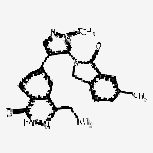 Cc1ccc2c(c1)C(=O)N(c1c(-c3ccc4c(=O)[nH]nc(CN)c4c3)cnn1C)C2